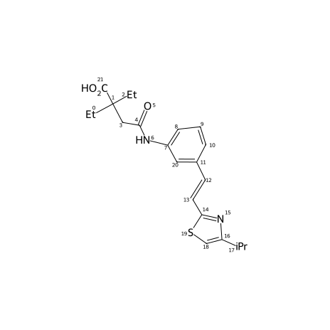 CCC(CC)(CC(=O)Nc1cccc(/C=C/c2nc(C(C)C)cs2)c1)C(=O)O